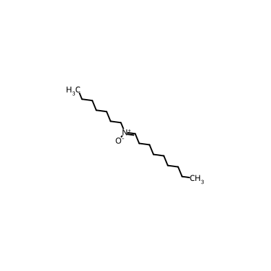 CCCCCCCCC=[N+]([O-])CCCCCCC